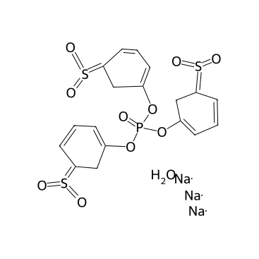 O.O=S(=O)=C1C=CC=C(OP(=O)(OC2=CC=CC(=S(=O)=O)C2)OC2=CC=CC(=S(=O)=O)C2)C1.[Na].[Na].[Na]